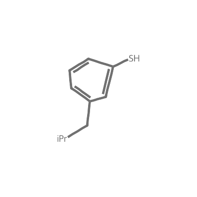 CC(C)Cc1cccc(S)c1